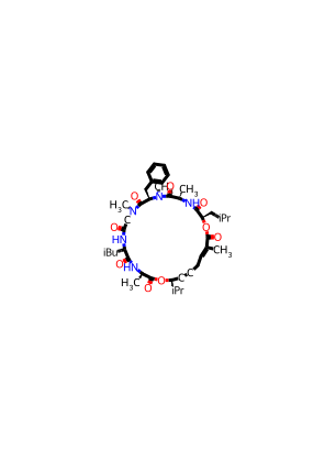 CCC(C)C1NC(=O)CN(C)C(=O)[C@@H](Cc2ccccc2)N(C)C(=O)[C@H](C)NC(=O)[C@@H](CC(C)C)OC(=O)/C(C)=C/CCC[C@@H](C(C)C)OC(=O)[C@@H](C)NC1=O